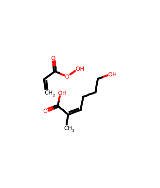 C=CC(=O)OO.CC(=CCCCO)C(=O)O